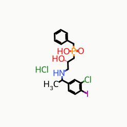 CC(NC[C@H](O)CP(=O)(O)Cc1ccccc1)c1ccc(I)c(Cl)c1.Cl